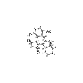 CC(=O)c1ccc(F)c(C2=C(c3c(C)[nH]c4ccccc34)C(=O)CC2=O)c1